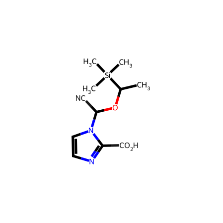 CC(OC(C#N)n1ccnc1C(=O)O)[Si](C)(C)C